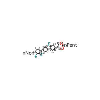 CCCCCCCCCc1ccc(-c2ccc(-c3ccc(C4COC(CCCCC)OC4)cc3F)cc2)c(F)c1F